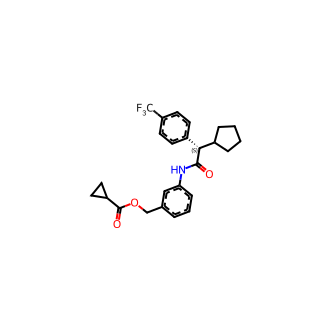 O=C(OCc1cccc(NC(=O)[C@H](c2ccc(C(F)(F)F)cc2)C2CCCC2)c1)C1CC1